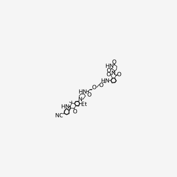 CCc1cc2c(cc1N1CCC(NC(=O)C=COCCOCCNc3cccc4c3C(=O)N(C3CCC(=O)NC3=O)C4=O)CC1)C(C)(C)c1[nH]c3cc(C#N)ccc3c1C2=O